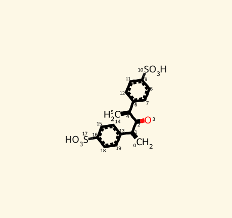 C=C(C(=O)C(=C)c1ccc(S(=O)(=O)O)cc1)c1ccc(S(=O)(=O)O)cc1